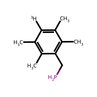 [3H]c1c(C)c(C)c(CP)c(C)c1C